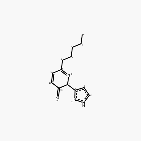 CCCCCC1=NC(c2cc[nH]n2)C(=O)C=C1